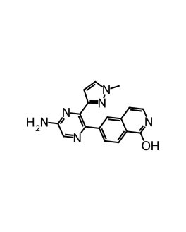 Cn1ccc(-c2nc(N)cnc2-c2ccc3c(O)nccc3c2)n1